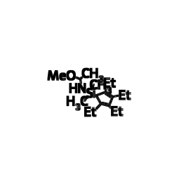 CCC1=C(CC)C([Si](C)(C)NC(C)OC)C(CC)=C1CC